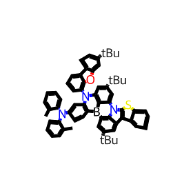 Cc1ccccc1N(c1ccc2c(c1)N(c1cccc3c1oc1cc(C(C)(C)C)ccc13)c1cc(C(C)(C)C)cc3c1B2c1cc(C(C)(C)C)cc2c4c5ccccc5sc4n-3c12)c1ccccc1C